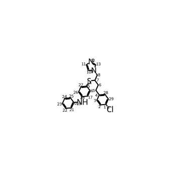 Clc1ccc(CCC(Cn2ccnc2)Sc2ccc(Nc3ccccc3)cc2)cc1